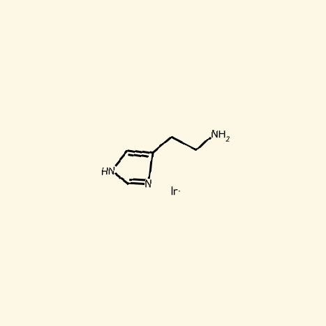 NCCc1c[nH]cn1.[Ir]